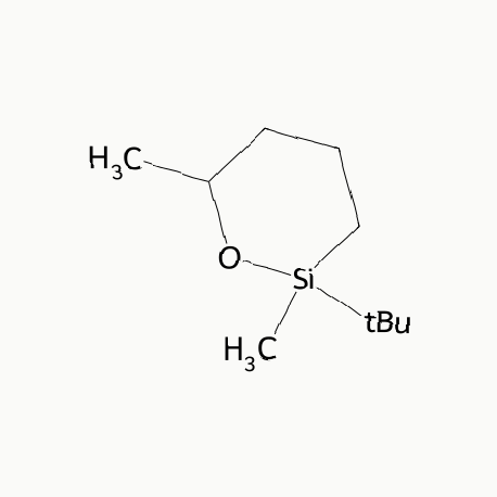 CC1CCC[Si](C)(C(C)(C)C)O1